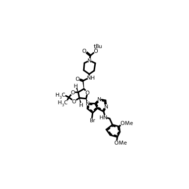 COc1ccc(CNc2ncnc3c2c(Br)cn3[C@@H]2O[C@H](C(=O)NC3CCN(C(=O)OC(C)(C)C)CC3)[C@H]3OC(C)(C)O[C@H]32)c(OC)c1